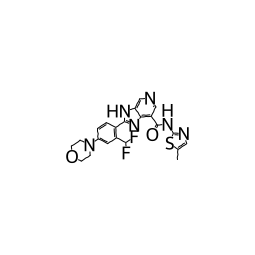 Cc1cnc(NC(=O)c2cncc3[nH]c(-c4ccc(N5CCOCC5)cc4C(F)F)nc23)s1